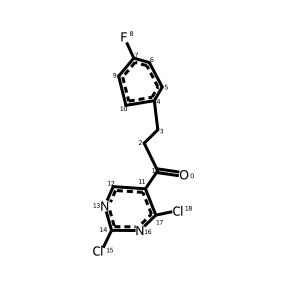 O=C(CCc1ccc(F)cc1)c1cnc(Cl)nc1Cl